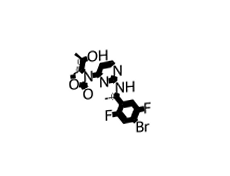 C[C@H](Nc1nccc(N2C(=O)OC[C@@H]2[C@@H](C)O)n1)c1cc(F)c(Br)cc1F